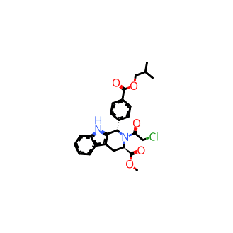 COC(=O)[C@H]1Cc2c([nH]c3ccccc23)[C@H](c2ccc(C(=O)OCC(C)C)cc2)N1C(=O)CCl